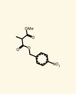 COC(=O)C(C)C(=O)OCc1ccc([N+](=O)[O-])cc1